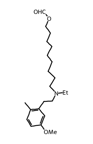 CCN(CCCCCCCCCOC=O)CCc1cc(OC)ccc1C